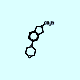 CCOC(=O)N1Cc2ccc(N3CCOCC3)cc2C1